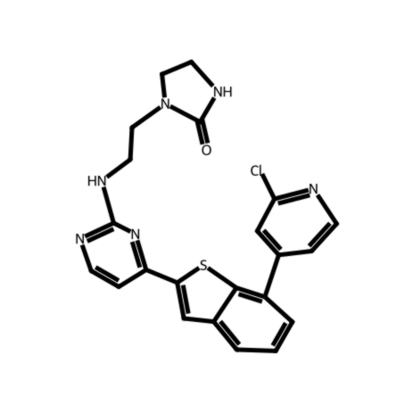 O=C1NCCN1CCNc1nccc(-c2cc3cccc(-c4ccnc(Cl)c4)c3s2)n1